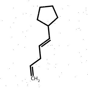 C=CCC=CC1CCCC1